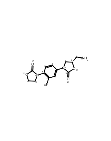 NC[C@@H]1CN(c2ccc(N3CCOC3=O)c(F)c2)C(=O)O1